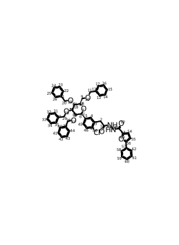 O=C(Cc1cc([C@@H]2O[C@H](COCc3ccccc3)[C@@H](OCc3ccccc3)[C@H](OCc3ccccc3)[C@H]2OCc2ccccc2)ccc1Cl)NNC(=O)c1ccc(-c2ccccc2)o1